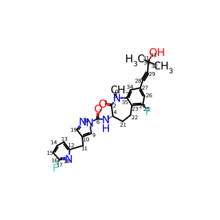 CN1C(=O)[C@@H](NC(=O)n2cc(Cc3cccc(F)n3)cn2)CCc2c(F)cc(C#CC(C)(C)O)cc21